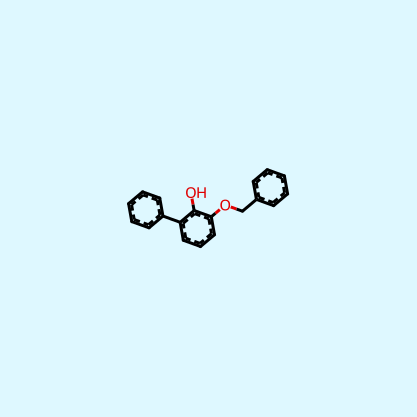 Oc1c(OCc2ccccc2)cccc1-c1ccccc1